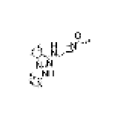 C=CC(=O)N1CC(CNc2nc(Nc3nccs3)nc3ccsc23)C1